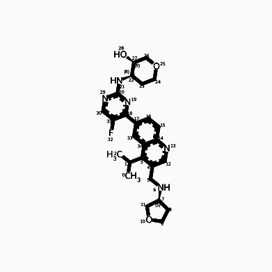 CC(C)c1c(CN[C@H]2CCOC2)cnc2ccc(-c3nc(N[C@@H]4CCOC[C@@H]4O)ncc3F)cc12